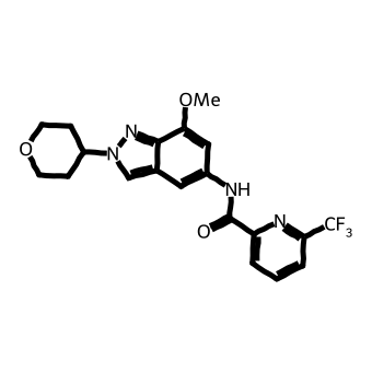 COc1cc(NC(=O)c2cccc(C(F)(F)F)n2)cc2cn(C3CCOCC3)nc12